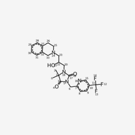 CC1(C)C(=O)N(Cc2ccc(C(F)(F)F)cn2)C(=O)N1CC(O)CN1CCc2ccccc2C1